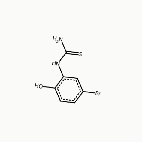 NC(=S)Nc1cc(Br)ccc1O